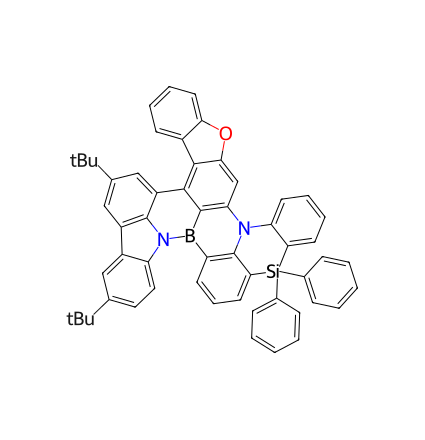 CC(C)(C)c1ccc2c(c1)c1cc(C(C)(C)C)cc3c1n2B1c2cccc4c2N(c2ccccc2[Si]4(c2ccccc2)c2ccccc2)c2cc4oc5ccccc5c4c-3c21